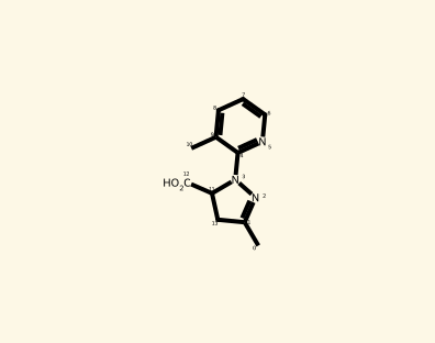 CC1=NN(c2ncccc2C)C(C(=O)O)C1